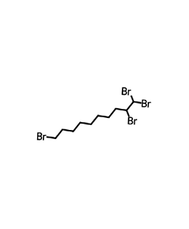 BrCCCCCCCCC(Br)C(Br)Br